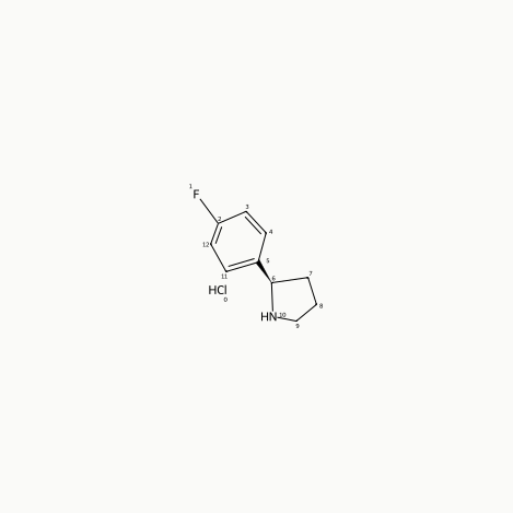 Cl.Fc1ccc([C@H]2CCCN2)cc1